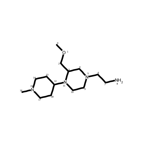 COCC1CN(CCN)CCN1C1CCN(C)CC1